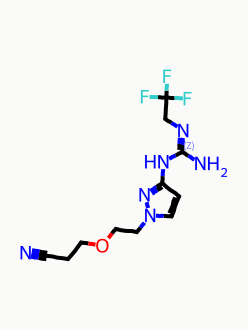 N#CCCOCCn1ccc(N/C(N)=N\CC(F)(F)F)n1